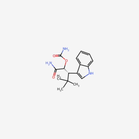 CC(C)(C)[C@@H](c1c[nH]c2ccccc12)C(OC(N)=O)C(N)=O